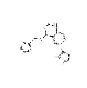 Cc1occc1-c1ccc2ncnc(NCc3ncc[nH]3)c2c1